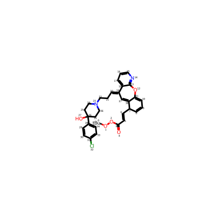 CC(C)(C)OOC(=O)C=CC1C=CC=C2Oc3ncccc3C(=CCCN3CCC(O)(c4ccc(Cl)cc4)CC3)C=C21